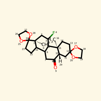 C[C@]12CC(F)C3C(CC(=O)[C@H]4CC5(CC[C@]34C)OCCO5)C1CCC21OCCO1